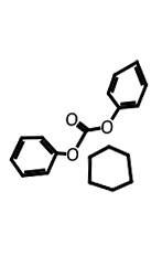 C1CCCCC1.O=C(Oc1ccccc1)Oc1ccccc1